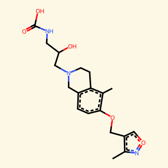 Cc1nocc1COc1ccc2c(c1C)CCN(CC(O)CNC(=O)O)C2